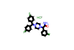 Cl.NC(=O)C(c1cccc(F)c1)N1CCN(C(c2ccc(F)cc2)c2ccc(F)cc2)CC1